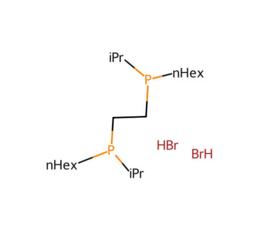 Br.Br.CCCCCCP(CCP(CCCCCC)C(C)C)C(C)C